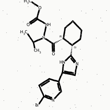 COC(=O)NN(C(=O)[C@@H]1CCCC[C@@H]1c1ncc(-c2ccc(Br)nc2)[nH]1)C(C)C